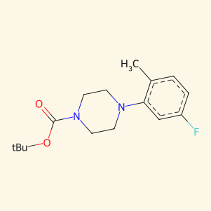 Cc1ccc(F)cc1N1CCN(C(=O)OC(C)(C)C)CC1